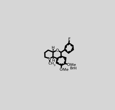 Br.COc1cc2c(cc1OC)[C@H]1[C@H](CCCN1C)OC2c1cccc(F)c1